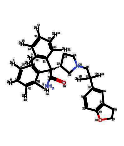 [2H]c1c([2H])c([2H])c(C(C(N)=O)(c2c([2H])c([2H])c([2H])c([2H])c2[2H])[C@@H]2CCN(CC([2H])([2H])c3ccc4c(c3)CCO4)C2)c([2H])c1[2H]